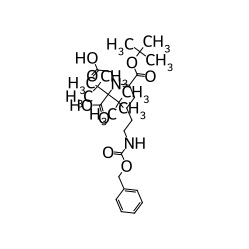 CC(C)(C)OC(=O)C(CCCCNC(=O)OCc1ccccc1)N(CC(=O)O)C(C(=O)O)(C(C)(C)C)C(C)(C)C